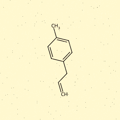 [CH]=CCc1ccc(C)cc1